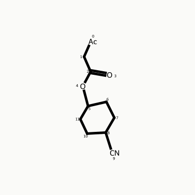 CC(=O)CC(=O)OC1CCC(C#N)CC1